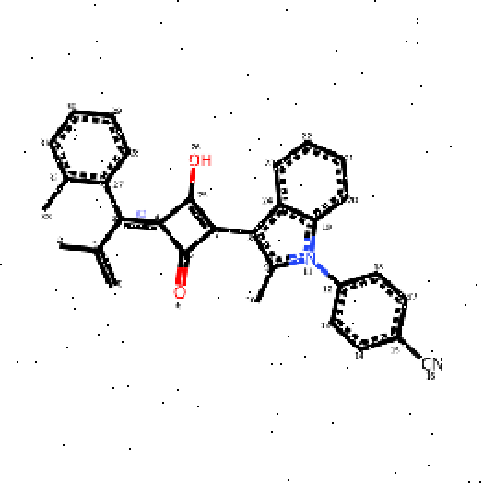 C=C(C)/C(=C1\C(=O)C(c2c(C)n(-c3ccc(C#N)cc3)c3ccccc23)=C1O)c1ccccc1C